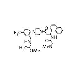 CNCC(=O)NC(CC(=O)N1CCN(c2ccc(C(F)(F)F)cc2CNCC(C)OC)CC1)c1cccc2ccccc12